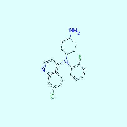 NC1CCC(N(c2ccccc2F)c2ccnc3cc(Cl)ccc23)CC1